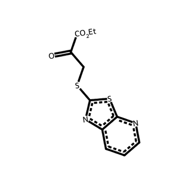 CCOC(=O)C(=O)CSc1nc2cccnc2s1